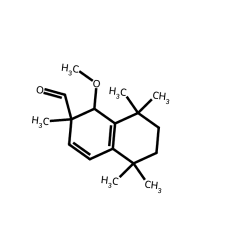 COC1C2=C(C=CC1(C)C=O)C(C)(C)CCC2(C)C